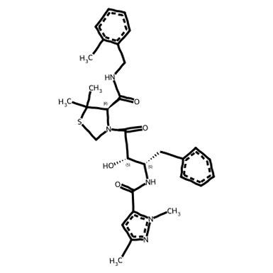 Cc1cc(C(=O)N[C@@H](Cc2ccccc2)[C@H](O)C(=O)N2CSC(C)(C)[C@H]2C(=O)NCc2ccccc2C)n(C)n1